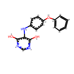 Oc1ncnc(O)c1Nc1ccc(OC2=CC=C=C=C2)cc1